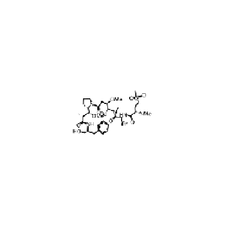 CC[C@H](C)[C@@H]([C@@H](CC(=O)N1CCC[C@H]1[C@H](OC)[C@@H](C)C(=O)N[C@H](CO)Cc1ccccc1)OC)N(C)C(=O)[C@@H](NC(=O)[C@H](CCS(C)(=O)=O)NC)C(C)C